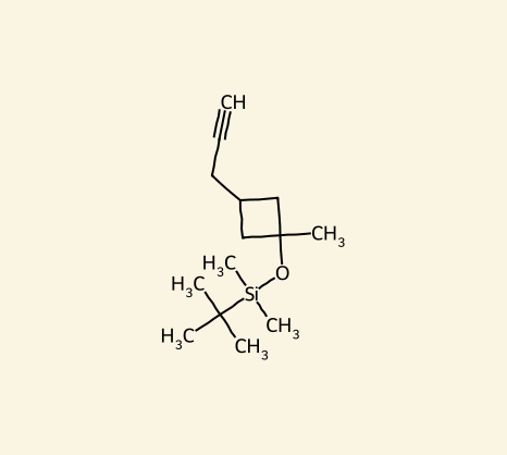 C#CCC1CC(C)(O[Si](C)(C)C(C)(C)C)C1